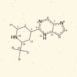 CC1CC(c2ncc3nccc-3[nH]2)CC(C(C)(C)C)N1